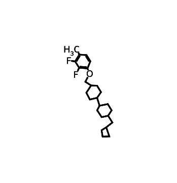 Cc1ccc(OCC2CCC(C3CCC(CC4CCC4)CC3)CC2)c(F)c1F